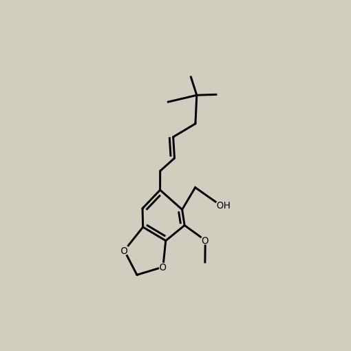 COc1c(CO)c(C/C=C/CC(C)(C)C)cc2c1OCO2